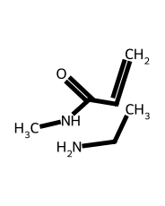 C=CC(=O)NC.CCN